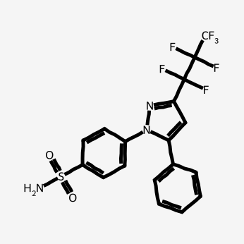 NS(=O)(=O)c1ccc(-n2nc(C(F)(F)C(F)(F)C(F)(F)F)cc2-c2ccccc2)cc1